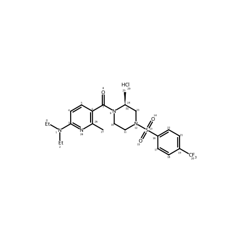 CCN(CC)c1ccc(C(=O)N2CCN(S(=O)(=O)c3ccc(C(F)(F)F)cc3)C[C@@H]2C)c(C)n1.Cl